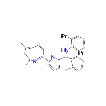 C\C1=C/C=C\C(c2cccc(C(Nc3c(C(C)C)cccc3C(C)C)c3ccccc3C)n2)=N/C(C)C1